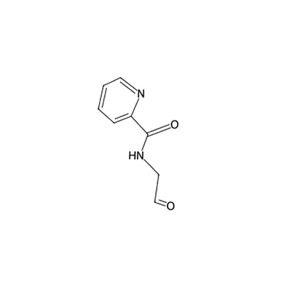 O=CCNC(=O)c1ccccn1